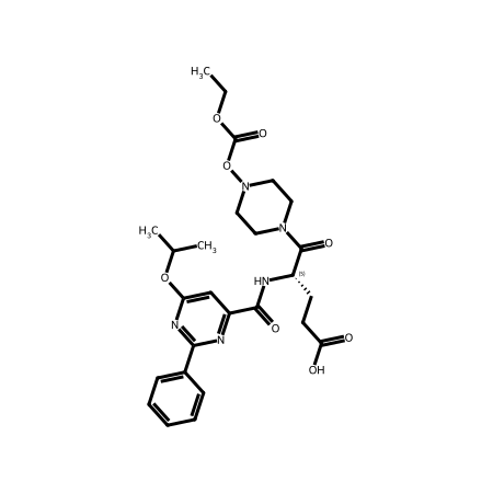 CCOC(=O)ON1CCN(C(=O)[C@H](CCC(=O)O)NC(=O)c2cc(OC(C)C)nc(-c3ccccc3)n2)CC1